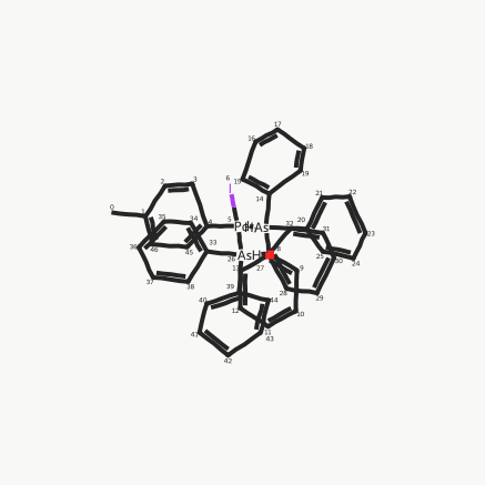 Cc1cc[c]([Pd]([I])([AsH](c2ccccc2)(c2ccccc2)c2ccccc2)[AsH](c2ccccc2)(c2ccccc2)c2ccccc2)cc1